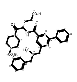 CCOC(=O)N1CCN(C(=O)[C@H](CCC(=O)O)NC(=O)c2cc(CN(C)Cc3ccccc3)nc(-c3ccccc3)n2)CC1